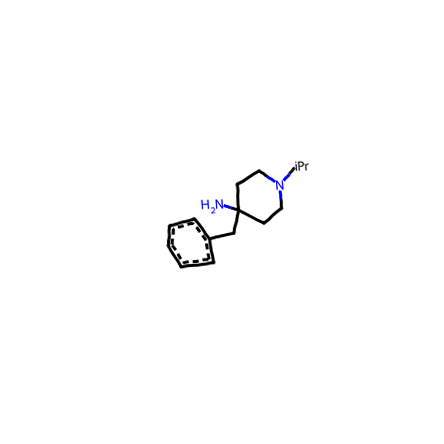 CC(C)N1CCC(N)(Cc2ccccc2)CC1